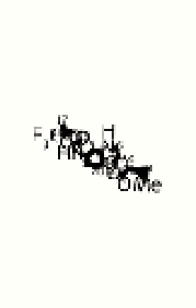 COC(=O)[C@H](C[C@H]1CNc2cc(NC(=O)OC(C)(C)C(F)(F)F)ccc2O1)C1CC1